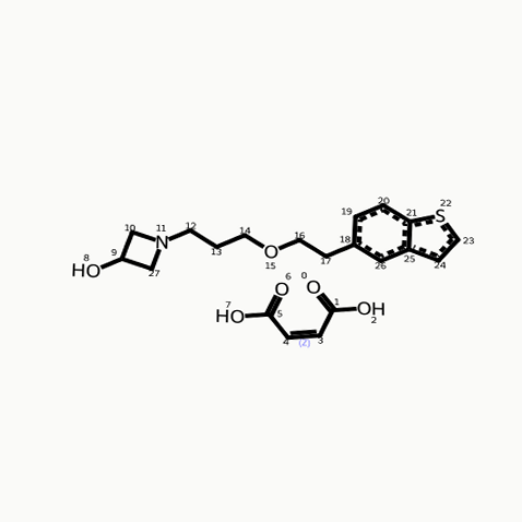 O=C(O)/C=C\C(=O)O.OC1CN(CCCOCCc2ccc3sccc3c2)C1